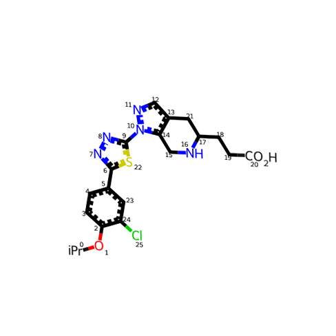 CC(C)Oc1ccc(-c2nnc(-n3ncc4c3CNC(CCC(=O)O)C4)s2)cc1Cl